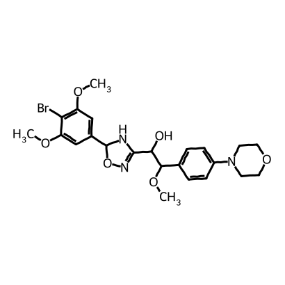 COc1cc(C2NC(C(O)C(OC)c3ccc(N4CCOCC4)cc3)=NO2)cc(OC)c1Br